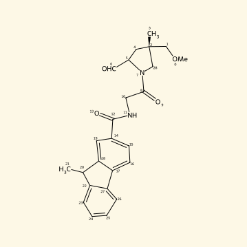 COC[C@@]1(C)CC(C=O)N(C(=O)CNC(=O)c2ccc3c(c2)C(C)c2ccccc2-3)C1